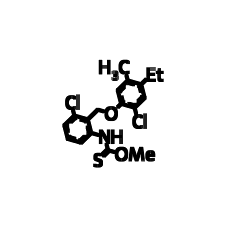 CCc1cc(Cl)c(OCc2c(Cl)cccc2NC(=S)OC)cc1C